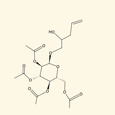 C=CCC(O)CO[C@H]1O[C@H](COC(C)=O)[C@@H](OC(C)=O)[C@H](OC(C)=O)[C@H]1OC(C)=O